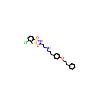 Cc1c(Cl)cccc1S(=O)(=O)NC(=O)CCNCCCc1ccc(OCCCc2ccccc2)cc1